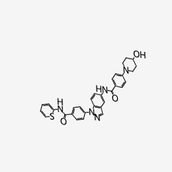 O=C(NC1=C=CC=CS1)c1ccc(-n2ncc3cc(NC(=O)c4ccc(N5CCC(O)CC5)cc4)ccc32)cc1